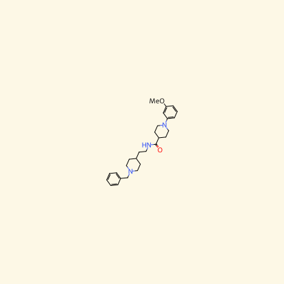 COc1cccc(N2CCC(C(=O)NCCC3CCN(Cc4ccccc4)CC3)CC2)c1